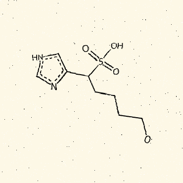 [O]CCCCC(c1c[nH]cn1)S(=O)(=O)O